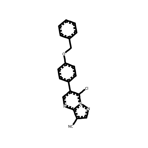 N#Cc1cnn2c(Cl)c(-c3ccc(OCc4ccccc4)cc3)cnc12